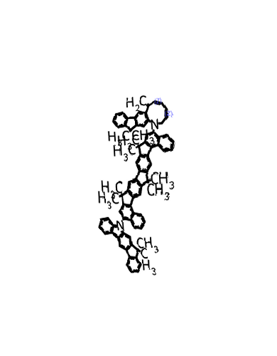 C=C1/C=C\C=C/CN(c2cc3c(c4ccccc24)-c2cc4c(cc2C3(C)C)-c2cc3c(cc2C4(C)C)-c2c(cc(-n4c5ccccc5c5cc6c(cc54)C(C)(C)c4ccccc4-6)c4ccccc24)C3(C)C)c2cc3c(cc21)-c1ccccc1C3(C)C